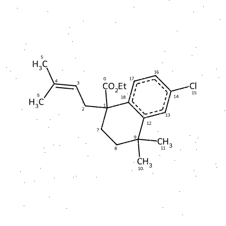 CCOC(=O)C1(CC=C(C)C)CCC(C)(C)c2cc(Cl)ccc21